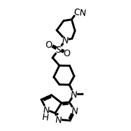 CN(c1ncnc2[nH]ccc12)C1CCC(CS(=O)(=O)N2CCC(C#N)CC2)CC1